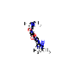 CC(C)n1cnc2c(NC3CCN(C(=O)O[C@H]4CCN(C(=O)/C=C/CN(C)C)C4)CC3)ccnc21